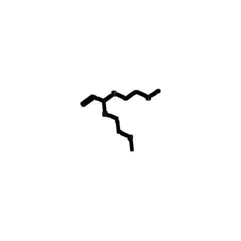 C=CC(OCCOC)OCCOC